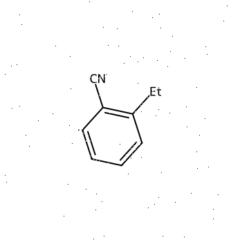 CCc1ccc[c]c1C#N